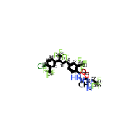 CN(NC(=O)c1ccc(/C(F)=C/C(c2ccc(Cl)c(C(F)(F)F)c2)C(F)(F)F)cc1C(F)(F)F)C(=O)NCC(F)(F)F